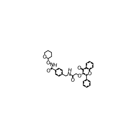 O=C(COc1c(-c2ccccc2)oc2ccccc2c1=O)NCc1ccc(C(=O)NOC2CCCCO2)cc1